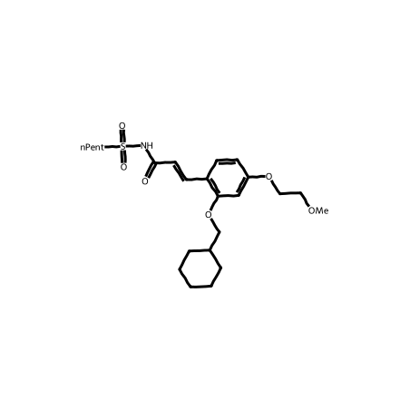 CCCCCS(=O)(=O)NC(=O)C=Cc1ccc(OCCOC)cc1OCC1CCCCC1